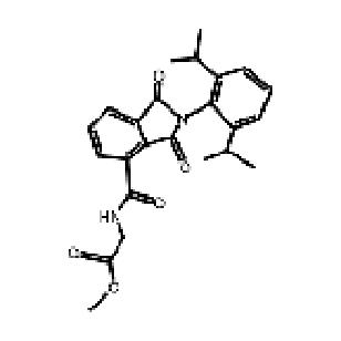 COC(=O)CNC(=O)c1cccc2c1C(=O)N(c1c(C(C)C)cccc1C(C)C)C2=O